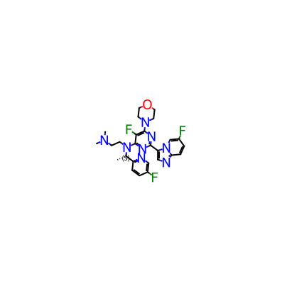 C[C@@H](c1ccc(F)cn1)N(CCN(C)C)c1nc(-c2cnc3ccc(F)cn23)nc(N2CCOCC2)c1F